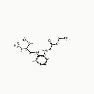 CCOC(=O)CNc1cccnc1NCC(OC)OC